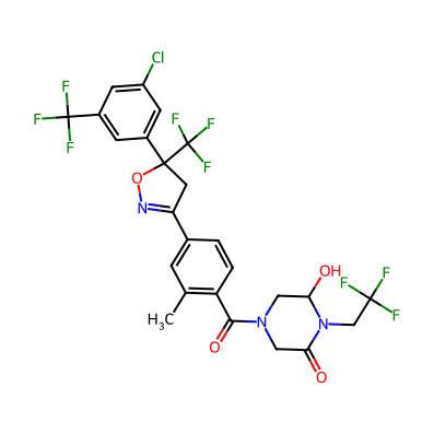 Cc1cc(C2=NOC(c3cc(Cl)cc(C(F)(F)F)c3)(C(F)(F)F)C2)ccc1C(=O)N1CC(=O)N(CC(F)(F)F)C(O)C1